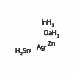 [Ag].[GaH3].[InH3].[SnH2].[Zn]